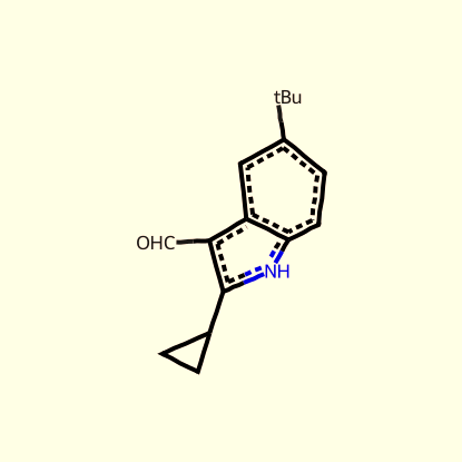 CC(C)(C)c1ccc2[nH]c(C3CC3)c(C=O)c2c1